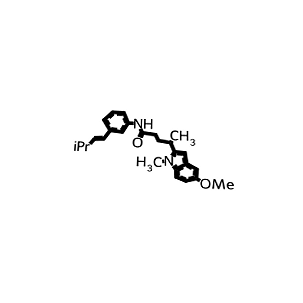 COc1ccc2c(c1)cc(C(C)CCC(=O)Nc1cccc(/C=C/C(C)C)c1)n2C